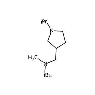 CCC(C)N(C)CC1CCN(C(C)C)C1